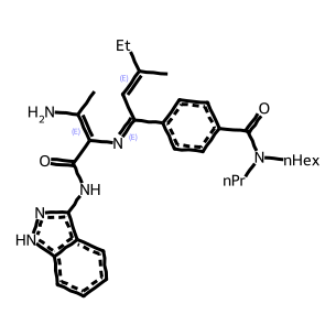 CCCCCCN(CCC)C(=O)c1ccc(C(/C=C(\C)CC)=N/C(C(=O)Nc2n[nH]c3ccccc23)=C(\C)N)cc1